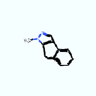 Cn1ncc2c1Cc1ccccc1-2